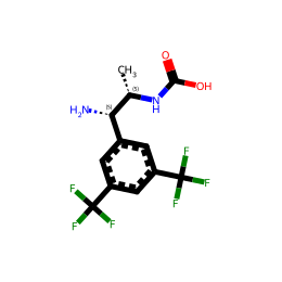 C[C@H](NC(=O)O)[C@@H](N)c1cc(C(F)(F)F)cc(C(F)(F)F)c1